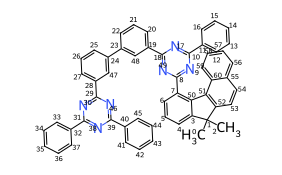 CC1(C)c2cccc(-c3nc(-c4ccccc4)nc(-c4cccc(-c5cccc(-c6nc(-c7ccccc7)nc(-c7ccccc7)n6)c5)c4)n3)c2-c2c1ccc1ccccc21